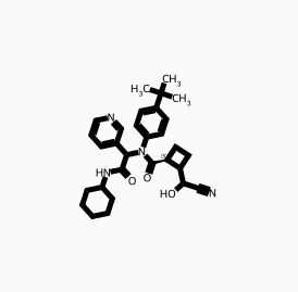 CC(C)(C)c1ccc(N(C(=O)[C@H]2CCC2C(O)C#N)C(C(=O)NC2CCCCC2)c2cccnc2)cc1